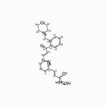 O=C(/C=C/c1cccc(/C=C/C(=O)c2ccccc2CN2CCOCC2)n1)NO